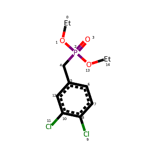 CCOP(=O)(Cc1ccc(Cl)c(Cl)c1)OCC